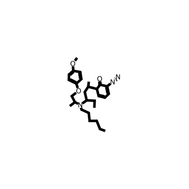 CCCCCCN(C(C)COc1ccc(OC)cc1)C(CC)CC(C)C1C=CC=C([N+]#N)C1=O